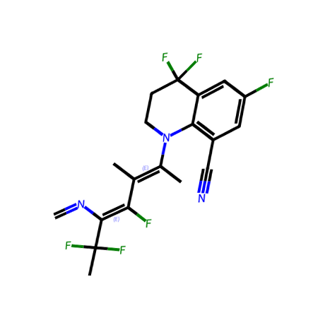 C=N/C(=C(F)\C(C)=C(/C)N1CCC(F)(F)c2cc(F)cc(C#N)c21)C(C)(F)F